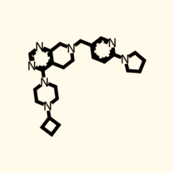 c1nc2c(c(N3CCN(C4CCC4)CC3)n1)CCN(Cc1ccc(N3CCCC3)nc1)C2